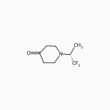 C[C@@H](N1CCC(=O)CC1)C(F)(F)F